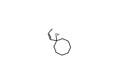 C/C=C\C1(O)CCCCCCC1